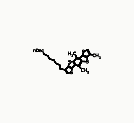 CCCCCCCCCCCCCCCCCc1csc2c1sc1c(C)c3c(sc4c(C)csc43)c(C)c12